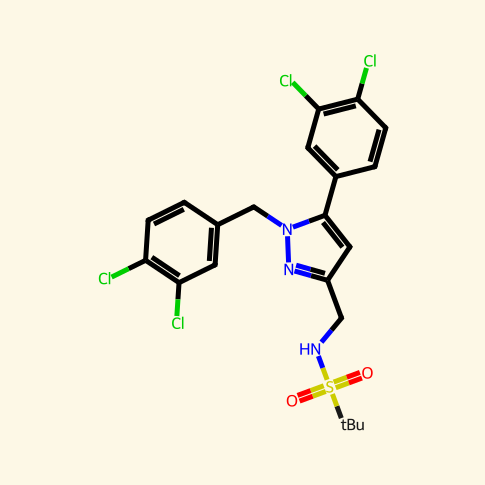 CC(C)(C)S(=O)(=O)NCc1cc(-c2ccc(Cl)c(Cl)c2)n(Cc2ccc(Cl)c(Cl)c2)n1